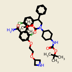 CC(C)(C)OC(=O)NC1CCC(N(CC(c2ccccc2)c2ccc(Cl)c(-c3c(C(N)=O)ccc(OCCOC4CNC4)c3F)c2)C(=O)OC(C)(C)C)CC1